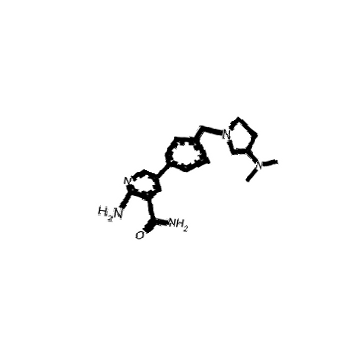 CN(C)C1CCN(Cc2ccc(-c3cnc(N)c(C(N)=O)c3)cc2)C1